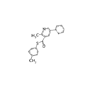 Cc1ccc(SC(=O)c2cc(-c3ccccc3)cnc2C)cc1